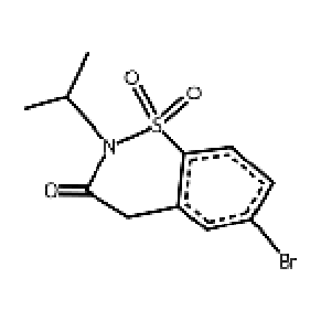 CC(C)N1C(=O)Cc2cc(Br)ccc2S1(=O)=O